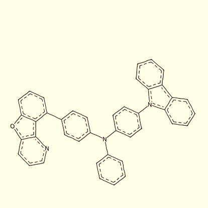 c1ccc(N(c2ccc(-c3cccc4oc5cccnc5c34)cc2)c2ccc(-n3c4ccccc4c4ccccc43)cc2)cc1